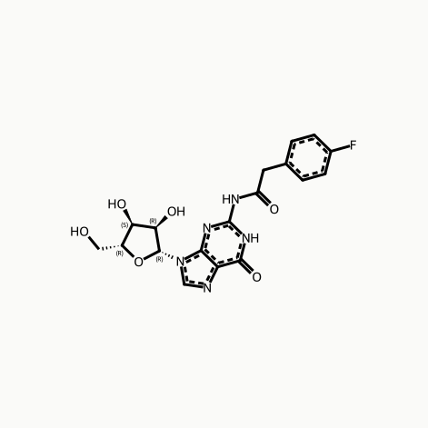 O=C(Cc1ccc(F)cc1)Nc1nc2c(ncn2[C@@H]2O[C@H](CO)[C@@H](O)[C@H]2O)c(=O)[nH]1